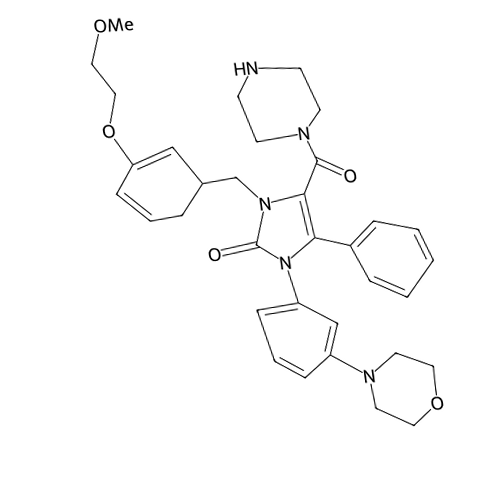 COCCOC1=CC(Cn2c(C(=O)N3CCNCC3)c(-c3ccccc3)n(-c3cccc(N4CCOCC4)c3)c2=O)CC=C1